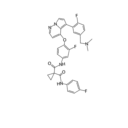 CN(C)Cc1ccc(F)c(-c2ccn3nccc(Oc4ccc(NC(=O)C5(C(=O)Nc6ccc(F)cc6)CC5)cc4F)c23)c1